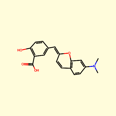 CN(C)c1ccc2c(c1)O/C(=C/c1ccc(O)c(C(=O)O)c1)C=C2